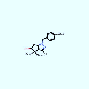 COc1ccc(Cn2nc(C(F)(F)F)c3c2CC(O)C3(OC)OC)cc1